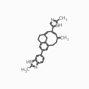 C=C1/C=C(c2cnc(C)[nH]2)\C=C2\CCc3cc(-c4ccc5nc(C)[nH]c5c4)cc(c3C2)CC1